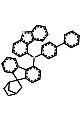 c1ccc(-c2ccc(N(c3cccc4c3-c3ccccc3C43CC4CCC3C4)c3cccc4oc5ccccc5c34)cc2)cc1